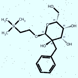 C[Si](C)(C)CCO[C@H]1O[C@H](CO)[C@H](O)[C@H](O)[C@]1(O)Cc1ccccc1